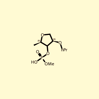 CCCO[C@@H]1CO[C@H](C)C1OP(=O)(O)OC